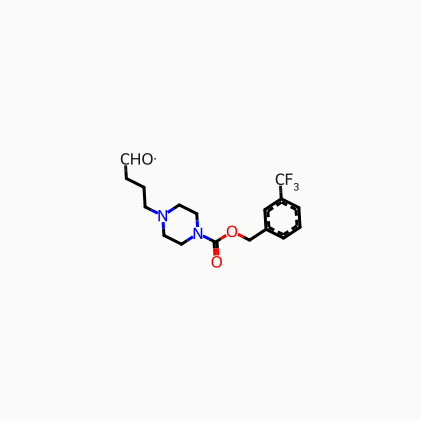 O=[C]CCCN1CCN(C(=O)OCc2cccc(C(F)(F)F)c2)CC1